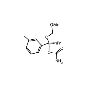 CCC[C@@](OCOC)(OC(N)=O)c1cccc(I)c1